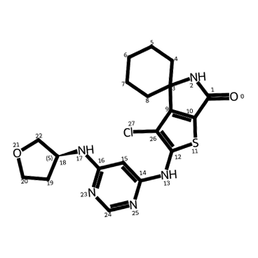 O=C1NC2(CCCCC2)c2c1sc(Nc1cc(N[C@H]3CCOC3)ncn1)c2Cl